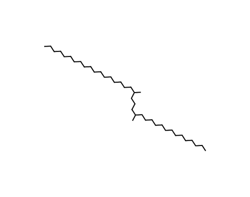 CCCCCCCCCCCCCCCCCCC(C)CCCC(C)CCCCCCCCCCCCCC